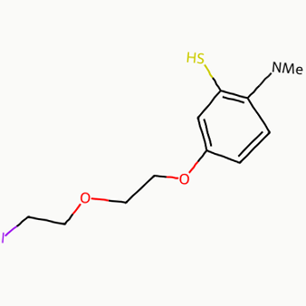 CNc1ccc(OCCOCCI)cc1S